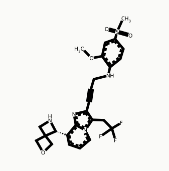 COc1cc(S(C)(=O)=O)ccc1NCC#Cc1nc2c([C@H]3NCC34COC4)cccn2c1CC(F)(F)F